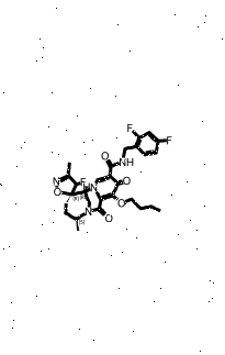 CCCCOc1c2n(cc(C(=O)NCc3ccc(F)cc3F)c1=O)[C@@H]1CN(C2=O)[C@@H](C)CC[C@@]12ON=C(C)C2F